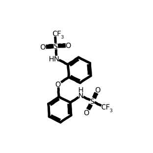 O=S(=O)(Nc1ccccc1Oc1ccccc1NS(=O)(=O)C(F)(F)F)C(F)(F)F